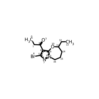 CCC(=O)c1c(Br)nn2c1OC(CC)CCC2